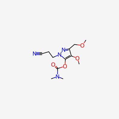 COCc1nn(CCC#N)c(OC(=O)N(C)C)c1OC